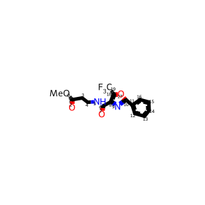 COC(=O)CCNC(=O)c1nc(-c2ccccc2)oc1C(F)(F)F